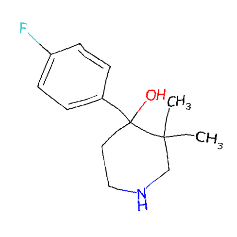 CC1(C)CNCCC1(O)c1ccc(F)cc1